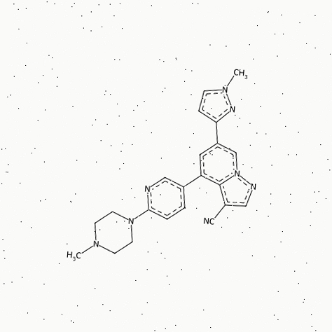 CN1CCN(c2ccc(-c3cc(-c4ccn(C)n4)cn4ncc(C#N)c34)cn2)CC1